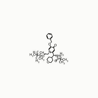 CC(C)(C)[S+]([O-])NC(c1cc(=O)c(OCc2ccccc2)cn1CCO[Si](C)(C)C(C)(C)C)C1CCOCC1